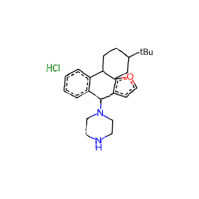 CC(C)(C)C1CCC(c2ccccc2C(c2ccoc2)N2CCNCC2)CC1.Cl